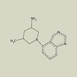 CC1CC(N)CN(c2cccc3ncncc23)C1